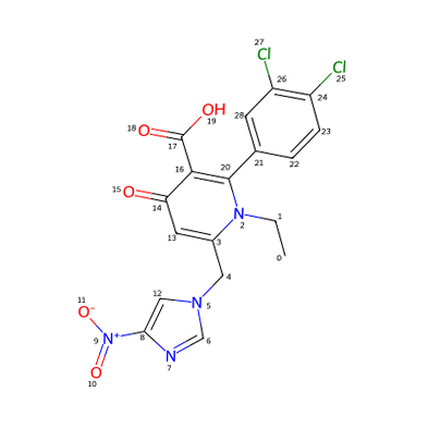 CCn1c(Cn2cnc([N+](=O)[O-])c2)cc(=O)c(C(=O)O)c1-c1ccc(Cl)c(Cl)c1